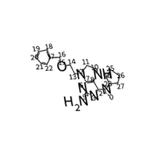 CN(c1nc(N)nc2c1NCCN2CCOCc1ccccc1)C1CCCC1